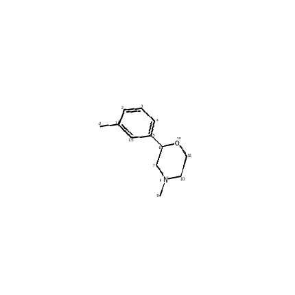 Cc1cccc(C2CN(C)CCO2)c1